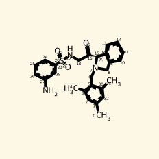 Cc1cc(C)c(CN2Cc3ccccc3[C@@H]2C(=O)CNS(=O)(=O)c2cccc(N)c2)c(C)c1